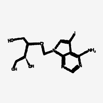 Nc1ncnc2c1c(I)cn2COC(CO)[C@H](O)CO